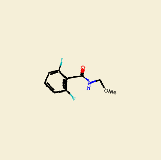 COCNC(=O)c1c(F)cccc1F